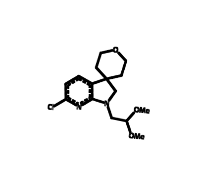 COC(CN1CC2(CCOCC2)c2ccc(Cl)nc21)OC